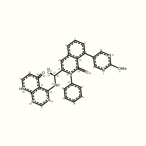 COc1ncc(-c2cccc3cc([C@H](C)Nc4ncnc5[nH]ccc(=O)c45)n(-c4ccccc4)c(=O)c23)cn1